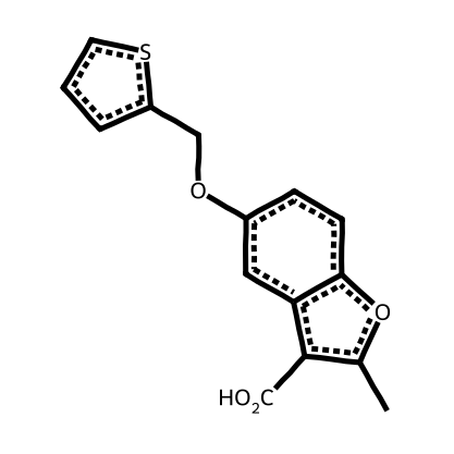 Cc1oc2ccc(OCc3cccs3)cc2c1C(=O)O